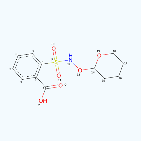 O=C(O)c1ccccc1S(=O)(=O)NOC1CCCCO1